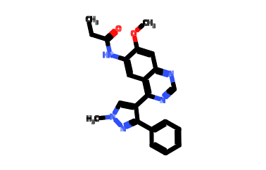 CCC(=O)Nc1cc2c(-c3cn(C)nc3-c3ccccc3)ncnc2cc1OC